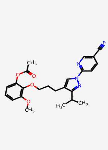 COc1cccc(OC(C)=O)c1OCCCc1cn(-c2ccc(C#N)cn2)nc1C(C)C